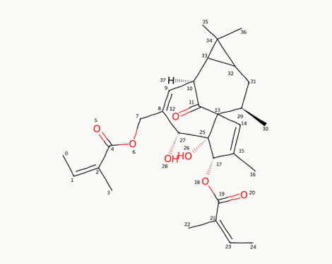 C/C=C(/C)C(=O)OCC1=C[C@@H]2C(=O)C3(C=C(C)[C@H](OC(=O)/C(C)=C\C)[C@@]3(O)[C@@H]1O)[C@H](C)CC1C2C1(C)C